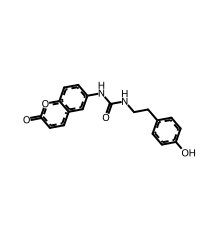 O=C(NCCc1ccc(O)cc1)Nc1ccc2oc(=O)ccc2c1